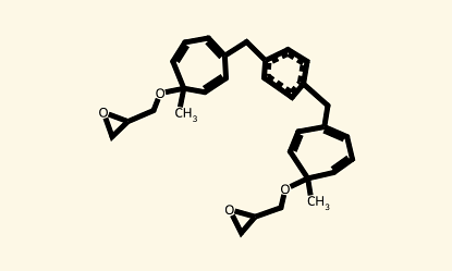 CC1(OCC2CO2)C=CC=C(Cc2ccc(CC3=CC=CC(C)(OCC4CO4)C=C3)cc2)C=C1